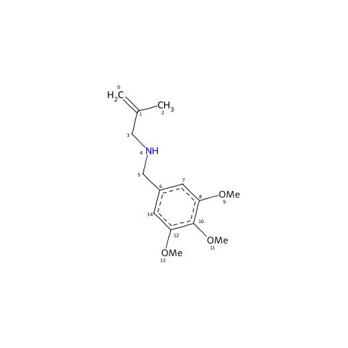 C=C(C)CNCc1cc(OC)c(OC)c(OC)c1